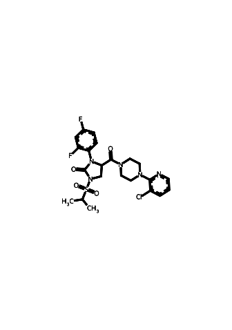 CC(C)S(=O)(=O)N1CC(C(=O)N2CCN(c3ncccc3Cl)CC2)N(c2ccc(F)cc2F)C1=O